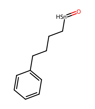 [O]=[SnH][CH2]CCCc1ccccc1